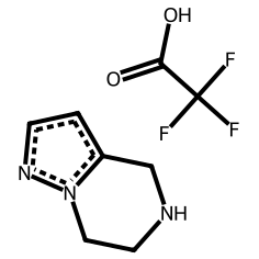 O=C(O)C(F)(F)F.c1cc2n(n1)CCNC2